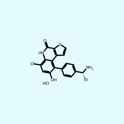 CC[C@@H](N)c1ccc(-c2c(O)cc(Cl)c3[nH]c(=O)c4sccc4c23)cc1.Cl